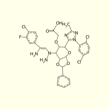 Cc1nc(C2OC3OC(c4ccccc4)OC3C(N(N)/C=C(\N)c3ccc(Cl)c(F)c3)C2OCC(=O)O)n(-c2cc(Cl)ccc2Cl)n1